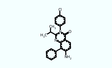 CC(C)c1nc2c(-c3ccccc3)c(N)ccc2c(=O)n1-c1ccc(Cl)cc1